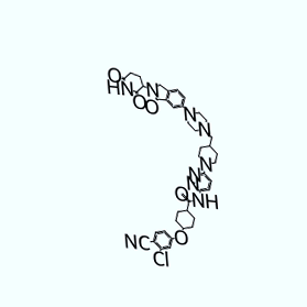 N#Cc1ccc(OC2CCC(C(=O)Nc3ccc(N4CCC(CN5CCN(c6ccc7c(c6)C(=O)N(C6CCC(=O)NC6=O)C7)CC5)CC4)nn3)CC2)cc1Cl